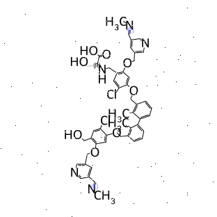 C/N=C/c1cncc(COc2cc(OCc3cccc(-c4cccc(COc5cc(OCc6cncc(/C=N/C)c6)c(CN[C@H](CO)C(=O)O)cc5Cl)c4C)c3C)c(Cl)cc2CO)c1